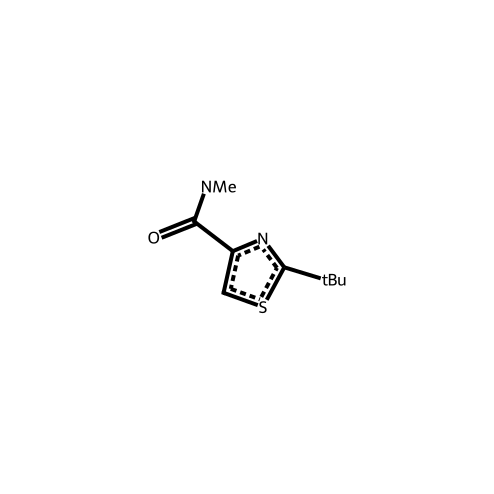 CNC(=O)c1csc(C(C)(C)C)n1